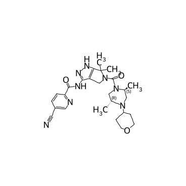 C[C@@H]1CN(C(=O)N2Cc3c(NC(=O)c4ccc(C#N)cn4)n[nH]c3C2(C)C)[C@@H](C)CN1C1CCOCC1